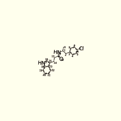 CC(Cc1ccc(Cl)cc1)NC(=O)CCc1c[nH]c2ccccc12